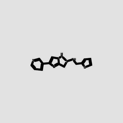 c1cncc(-c2cn3c(n2)CN(NCc2ccco2)N3)c1